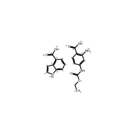 CCOC(=O)Nc1ccc(C(=O)O)c(N)c1.O=C(O)c1cccc2[nH]ccc12